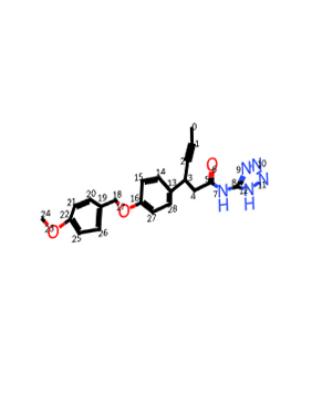 CC#CC(CC(=O)Nc1nnn[nH]1)c1ccc(OCc2ccc(OC)cc2)cc1